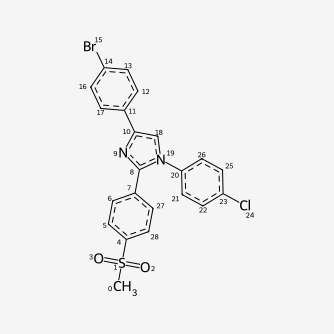 CS(=O)(=O)c1ccc(-c2nc(-c3ccc(Br)cc3)cn2-c2ccc(Cl)cc2)cc1